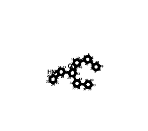 c1ccc(-c2cccc(-c3ccc4oc5c(-c6ccc7[nH]c8ccccc8c7c6)cc(-c6cccc(-c7ccccc7)c6)cc5c4c3)c2)cc1